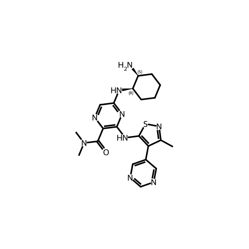 Cc1nsc(Nc2nc(N[C@@H]3CCCC[C@@H]3N)cnc2C(=O)N(C)C)c1-c1cncnc1